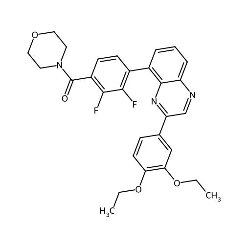 CCOc1ccc(-c2cnc3cccc(-c4ccc(C(=O)N5CCOCC5)c(F)c4F)c3n2)cc1OCC